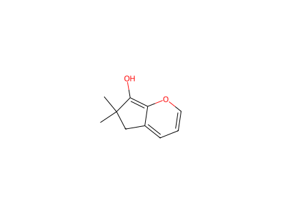 CC1(C)CC2=CC=COC2=C1O